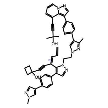 C=C/C=C(/C#CC1(O)CCC1)c1c(-c2ccc(-c3cnn(C)c3)cc2)cnn1CCn1cc(-c2ccc(-c3cnn4cccc(C#CC(C)(C)O)c34)cc2)c(C)n1